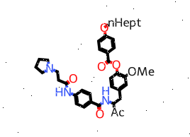 CCCCCCCOc1ccc(C(=O)Oc2ccc(CC(NC(=O)c3ccc(NC(=O)CCN4CCCC4)cc3)C(C)=O)cc2OC)cc1